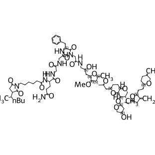 C=C1CC[C@H](CC[C@@H]2O[C@@H](CC[C@]3(O[C@@H]4C(C)CO[C@H]5CC[C@H](CC(=O)C[C@@H]6[C@@H](OC)[C@@H](C[C@H](O)CNC(=O)CNC(=O)[C@H](Cc7ccccc7)NC(=O)CNC(=O)CNC(=O)C(CCC(N)=O)NC(=O)CCCCCN7C(=O)CC(C(C)CCCC)C7=O)O[C@H]6C)O[C@@H]54)C[C@@H](O)CO3)CC2=C)OC1